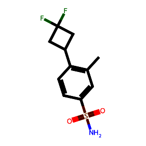 Cc1cc(S(N)(=O)=O)ccc1C1CC(F)(F)C1